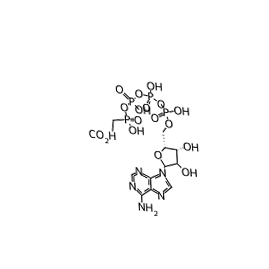 Nc1ncnc2c1ncn2[C@@H]1O[C@H](COP(=O)(O)OP(=O)(O)OP(=O)(O)OP(=O)(O)CC(=O)O)[C@H](O)C1O